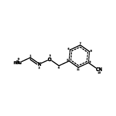 CCCC/[C]=N/OCc1cccc(C#N)c1